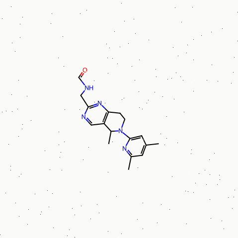 Cc1cc(C)nc(N2CCc3nc(CNC=O)ncc3C2C)c1